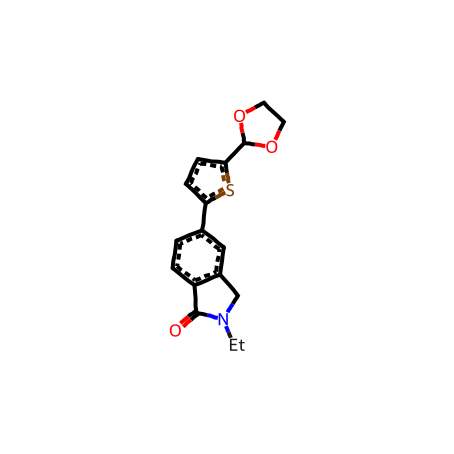 CCN1Cc2cc(-c3ccc(C4OCCO4)s3)ccc2C1=O